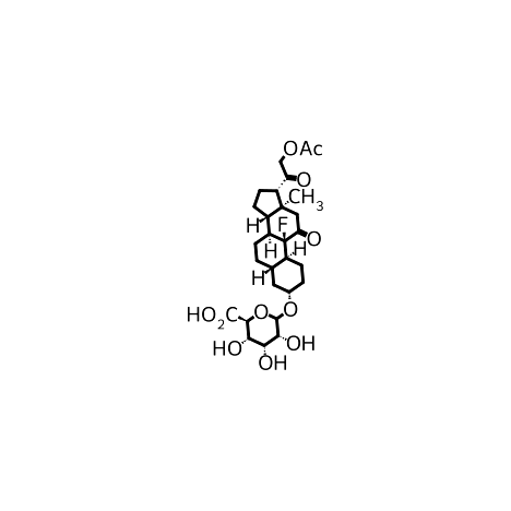 CC(=O)OCC(=O)[C@H]1CC[C@H]2[C@@H]3CC[C@H]4C[C@@H](OC5O[C@H](C(=O)O)[C@@H](O)[C@@H](O)[C@H]5O)CC[C@@H]4[C@@]3(F)C(=O)C[C@]12C